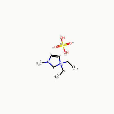 CC[N+]1(CC)C=CN(C)C1.O=S(=O)(O)O